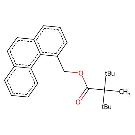 CC(C)(C)C(C)(C(=O)OCc1cccc2ccc3ccccc3c12)C(C)(C)C